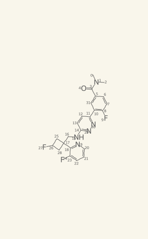 CN(C)C(=O)c1ccc(F)c(-c2ccc(NCC3(c4ncccc4F)CC(F)C3)nn2)c1